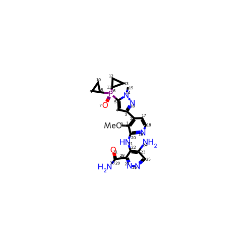 COc1c(-c2cc(P(=O)(C3CC3)C3CC3)n(C)n2)ccnc1Nc1c(N)cnnc1C(N)=O